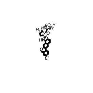 CC(C)[C@H](NC(=O)O)C(=O)N1[C@@H](C)CC[C@H]1C1=NC2=CC=C3C=C4C(=CC3C2N1)OC=C1C=C(Cl)C=CC14